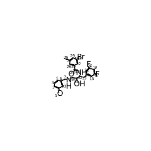 COc1cccc(CNC[C@H](O)[C@H](Cc2cc(F)cc(F)c2)NC(=O)c2cc(C)cc(Br)c2)c1